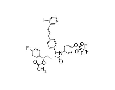 CC(=O)OC(CC[C@H]1C(=O)N(c2ccc(OS(=O)(=O)C(F)(F)F)cc2)[C@@H]1c1ccc(CC=Cc2ccccc2I)cc1)c1ccc(F)cc1